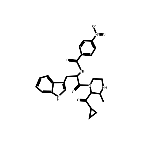 CC1NCCN(C(=O)C(Cc2c[nH]c3ccccc23)NC(=O)c2ccc([N+](=O)[O-])cc2)C1C(=O)C1CC1